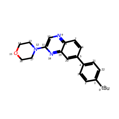 CC(C)(C)c1ccc(-c2ccc3ncc(N4CCOCC4)nc3c2)cc1